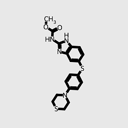 COC(=O)Nc1nc2cc(Sc3ccc(N4CCSCC4)cc3)ccc2[nH]1